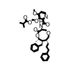 COc1ccnc(C(=O)N[C@H]2COC[C@H](CCCc3ccccc3)[C@@H](Cc3ccccc3)[C@H](C)OC2=O)c1OCOC(=O)C(C)C